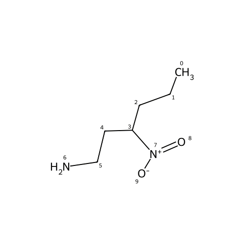 CCCC(CCN)[N+](=O)[O-]